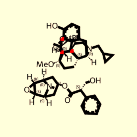 CN1[C@@H]2C[C@@H](OC(=O)[C@H](CO)c3ccccc3)C[C@H]1[C@@H]1O[C@@H]12.CO[C@@]12CC[C@@]3(C[C@@H]1[C@](C)(O)C(C)(C)C)[C@H]1Cc4ccc(O)c5c4[C@@]3(CCN1CC1CC1)[C@H]2O5